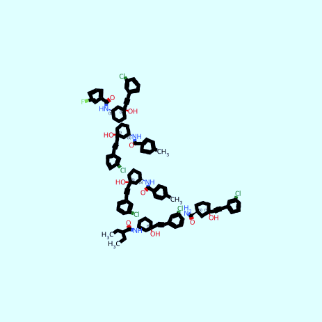 CCC(CC)C(=O)N[C@H]1CCC[C@@](O)(C#Cc2cccc(Cl)c2)C1.Cc1ccc(C(=O)N[C@H]2CCC[C@@](O)(C#Cc3cccc(Cl)c3)C2)cc1.Cc1ccc(C(=O)N[C@H]2CCC[C@@](O)(C#Cc3cccc(Cl)c3)C2)cc1.NC(=O)[C@H]1CCC[C@@](O)(C#Cc2cccc(Cl)c2)C1.O=C(N[C@H]1CCC[C@@](O)(C#Cc2cccc(Cl)c2)C1)c1cccc(F)c1